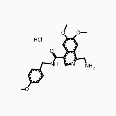 COc1ccc(CNC(=O)c2cnc(CN)c3cc(OC)c(OC)cc23)cc1.Cl